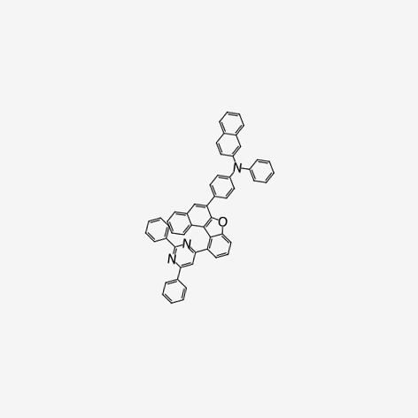 c1ccc(-c2cc(-c3cccc4oc5c(-c6ccc(N(c7ccccc7)c7ccc8ccccc8c7)cc6)cc6ccccc6c5c34)nc(-c3ccccc3)n2)cc1